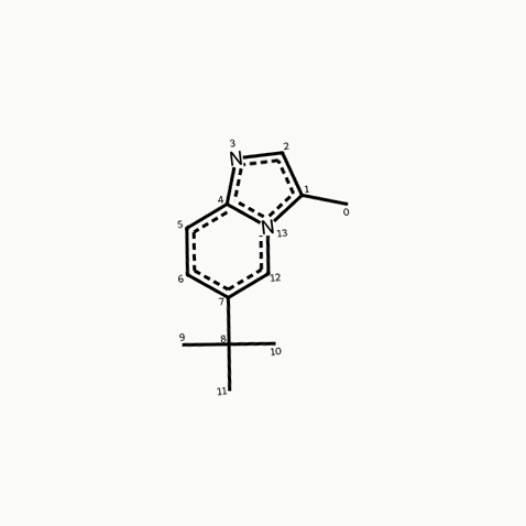 Cc1cnc2ccc(C(C)(C)C)cn12